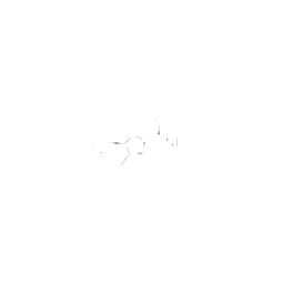 CC1(I)C=c2sc(C(N)=O)cc2=CC1